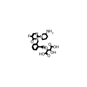 N#Cc1ccccc1Cn1c(N2CCC[C@@H](N)C2)ncc(F)c1=O.O=C(O)C(O)C(O)C(=O)O